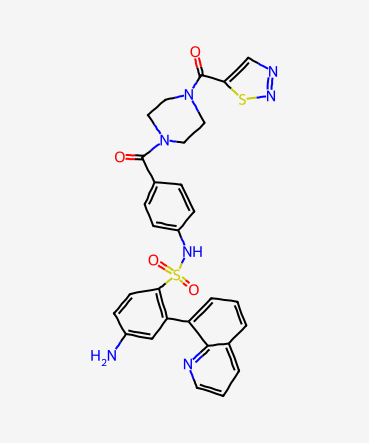 Nc1ccc(S(=O)(=O)Nc2ccc(C(=O)N3CCN(C(=O)c4cnns4)CC3)cc2)c(-c2cccc3cccnc23)c1